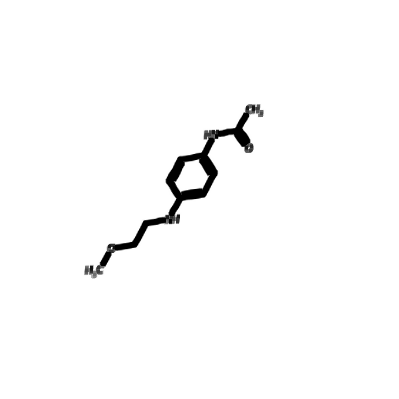 COCCNc1ccc(NC(C)=O)cc1